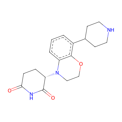 O=C1CC[C@H](N2CCOc3c(C4CCNCC4)cccc32)C(=O)N1